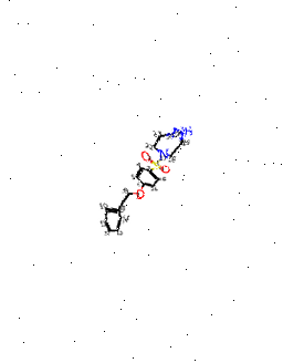 O=S(=O)(c1ccc(OCc2ccccc2)cc1)N1CCNCC1